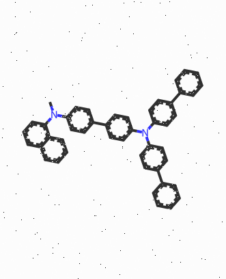 CN(c1ccc(-c2ccc(N(c3ccc(-c4ccccc4)cc3)c3ccc(-c4ccccc4)cc3)cc2)cc1)c1cccc2ccccc12